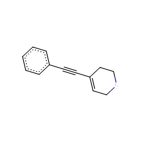 C(#Cc1ccccc1)C1=CC[N]CC1